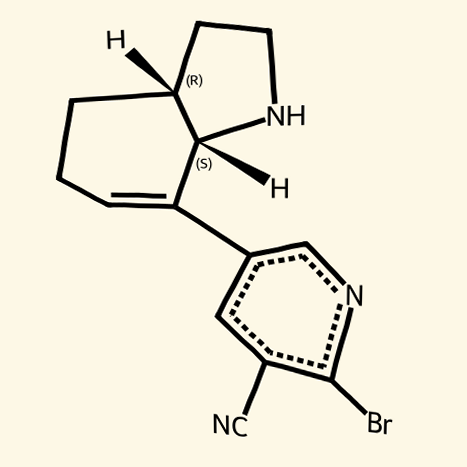 N#Cc1cc(C2=CCC[C@@H]3CCN[C@H]23)cnc1Br